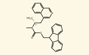 CN(C(=O)OCC1c2ccccc2-c2ccccc21)[C@@H](Cc1cncc2ccccc12)C(=O)O